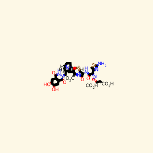 C[N+]1(CC2=C(C(=O)O)N3C(=O)[C@@H](NC(=O)/C(=N\O[C@@H](CC(=O)O)C(=O)O)c4csc(N)n4)[C@H]3SC2)[C@@H]2CC[C@H]1CC(Cn1[nH]c(=O)c3cc(O)c(O)cc3c1=O)C2